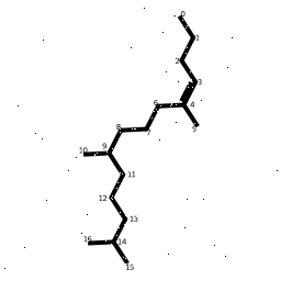 [CH2]CCC=C(C)CCCC(C)CCCC(C)C